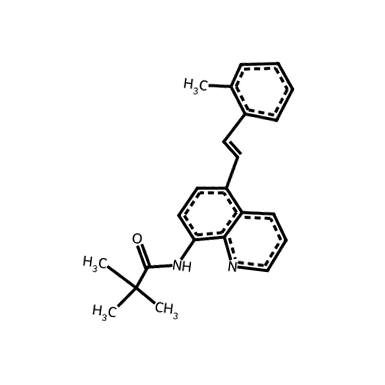 Cc1ccccc1C=Cc1ccc(NC(=O)C(C)(C)C)c2ncccc12